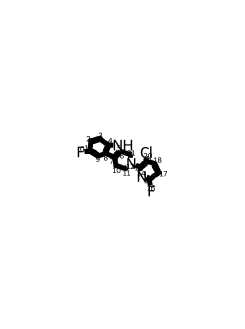 Fc1ccc2[nH]c3c(c2c1)CCN(c1nc(F)ccc1Cl)C3